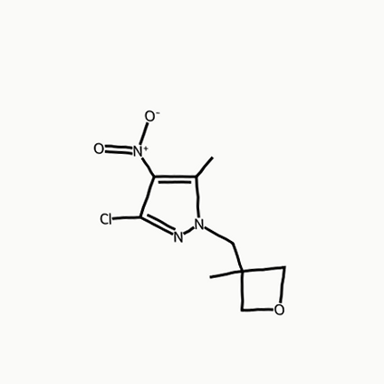 Cc1c([N+](=O)[O-])c(Cl)nn1CC1(C)COC1